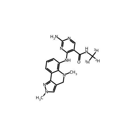 [2H]C([2H])([2H])NC(=O)c1cnc(N)nc1Nc1cccc2c1N(C)Cc1cn(C)nc1-2